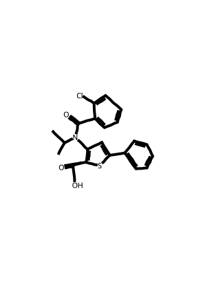 CC(C)N(C(=O)c1ccccc1Cl)c1cc(-c2ccccc2)sc1C(=O)O